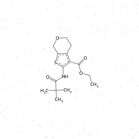 CCOC(=O)c1c(NC(=O)C(C)(C)C)sc2c1CCOC2